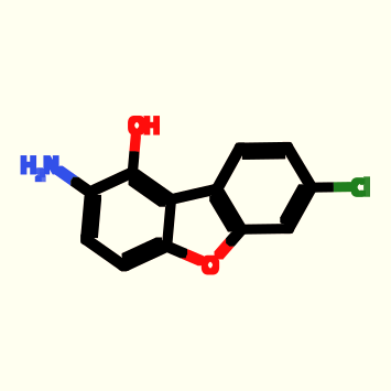 Nc1ccc2oc3cc(Cl)ccc3c2c1O